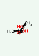 C/C=C/CCC(=O)C[C@H]1C(=O)CC(O)[C@@H]1C=CC(O)CCCCC